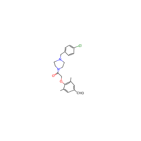 Cc1cc(C=O)cc(C)c1OCC(=O)N1CCN(Cc2ccc(Cl)cc2)CC1